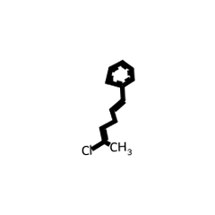 C/C(Cl)=C\C/C=C/c1ccccc1